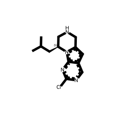 CC(C)C[C@H]1CNCc2cc3cnc(Cl)nc3n21